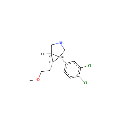 COCC[C@@H]1[C@H]2CNC[C@@]12c1ccc(Cl)c(Cl)c1